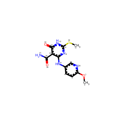 COc1ccc(Nc2nc(SC)[nH]c(=O)c2C(N)=O)cn1